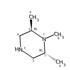 C[C@@H]1CNC[C@@H](C)N1C